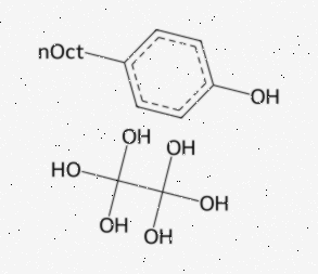 CCCCCCCCc1ccc(O)cc1.OC(O)(O)C(O)(O)O